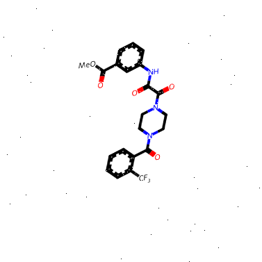 COC(=O)c1cccc(NC(=O)C(=O)N2CCN(C(=O)c3ccccc3C(F)(F)F)CC2)c1